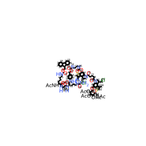 CC(=O)N[C@@H](CCCCNC(=O)OCC1c2ccccc2-c2ccccc21)C(=O)N[C@H](C(=O)N[C@@H](CCCNC(N)=O)C(=O)Nc1ccc(COC(=O)N(C)CCN(C)C(=O)Oc2cc3c(c4c(C)csc24)[C@H](CCl)CN3C(=O)CCCC(=O)N2C[C@@H](CCl)c3c2cc(O[C@@H]2O[C@H](COC(C)=O)[C@H](OC(C)=O)[C@H](OC(C)=O)[C@H]2OC(C)=O)c2scc(C)c32)cc1)C(C)C